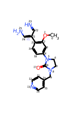 COc1cc(N2CCN(Cc3ccncc3)C2=O)ccc1/C(C=N)=C/N